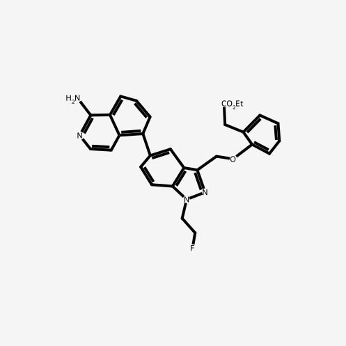 CCOC(=O)Cc1ccccc1OCc1nn(CCF)c2ccc(-c3cccc4c(N)nccc34)cc12